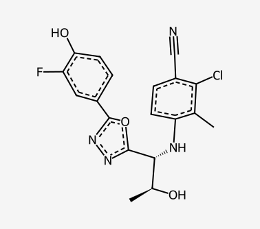 Cc1c(N[C@@H](c2nnc(-c3ccc(O)c(F)c3)o2)[C@H](C)O)ccc(C#N)c1Cl